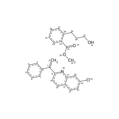 C=C(c1ccccc1)c1ccc2ccc(Cl)cc2n1.COC(=O)c1ccccc1CCCO